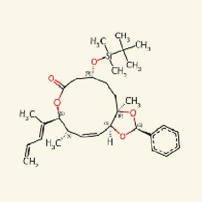 C=CC=C(C)[C@H]1OC(=O)C[C@H](O[Si](C)(C)C(C)(C)C)CC[C@@]2(C)O[C@@H](c3ccccc3)O[C@H]2C=C[C@@H]1C